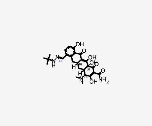 CN(C)[C@@H]1C(O)=C(C(N)=O)C(=O)[C@@]2(O)C(O)=C3C(=O)c4c(O)ccc(/C=N/NC(C)(C)C)c4C[C@H]3C[C@@H]12